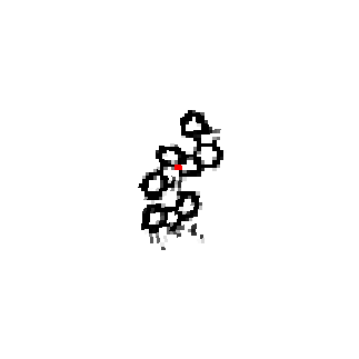 CC1(C)c2ccccc2-c2c(N(c3ccc4c(c3)C=CC3Oc5ccccc5C43)c3ccccc3-c3ccccc3)cccc21